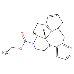 CCOC(=O)N1CCN2c3ccccc3CC3CC=CC4=C3[C@H]2[C@@H]1CC4